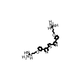 N=C(N)NCCCOc1cccc(-c2cncc(-c3ccc(-c4cncc(-c5cccc(OCCCNC(=N)N)c5)c4)s3)c2)c1